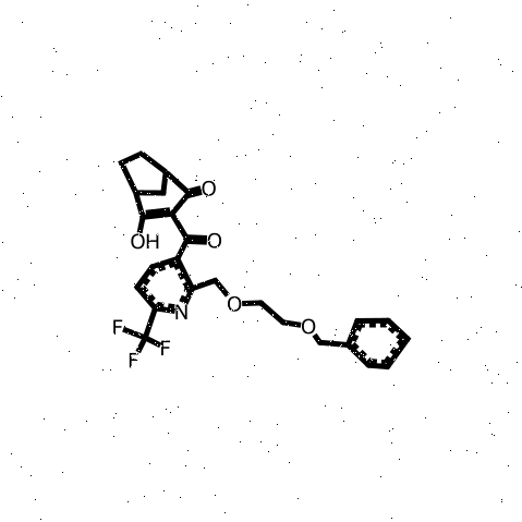 O=C(C1=C(O)C2CCC(C2)C1=O)c1ccc(C(F)(F)F)nc1COCCOCc1ccccc1